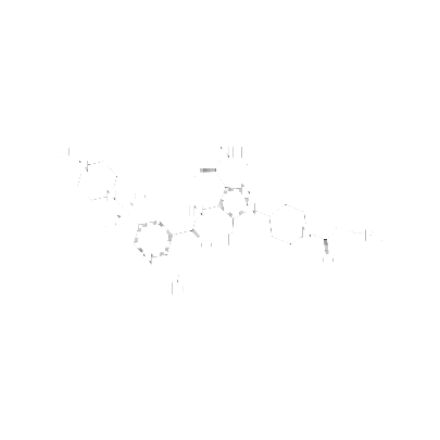 CCOc1ncc(S(=O)(=O)N2CCN(CC)CC2)cc1C(=O)Nc1c(C(N)=O)nn(C2CCN(C(=O)OC(C)(C)C)CC2)c1CC